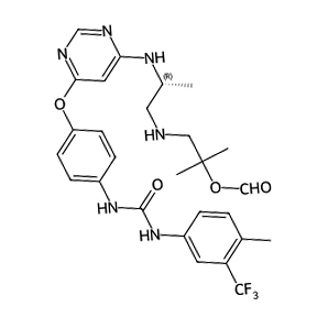 Cc1ccc(NC(=O)Nc2ccc(Oc3cc(N[C@H](C)CNCC(C)(C)OC=O)ncn3)cc2)cc1C(F)(F)F